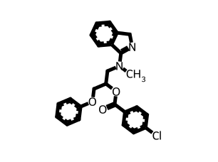 CN(CC(COc1ccccc1)OC(=O)c1ccc(Cl)cc1)C1=NCc2ccccc21